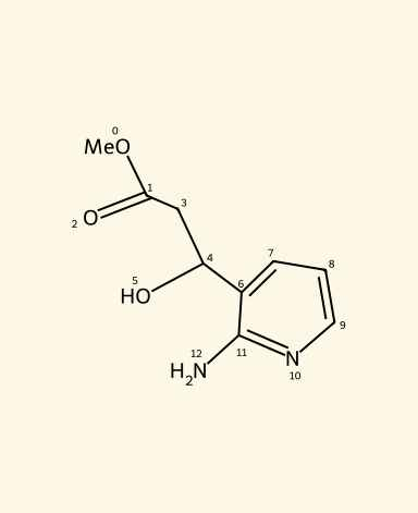 COC(=O)CC(O)c1cccnc1N